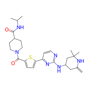 C=C1CC(Nc2nccc(-c3ccc(C(=O)N4CCC(C(=O)NC(C)C)CC4)s3)n2)CC(C)(C)N1